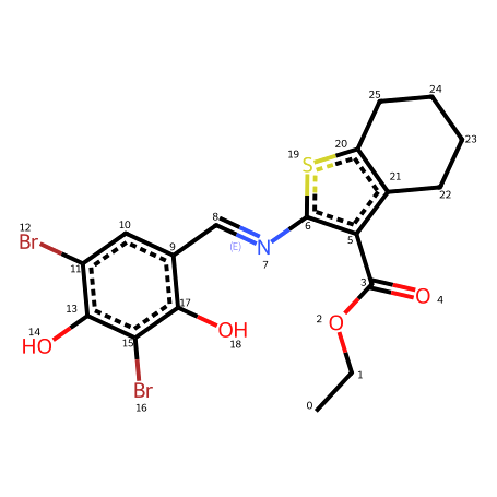 CCOC(=O)c1c(/N=C/c2cc(Br)c(O)c(Br)c2O)sc2c1CCCC2